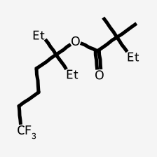 CCC(CC)(CCCC(F)(F)F)OC(=O)C(C)(C)CC